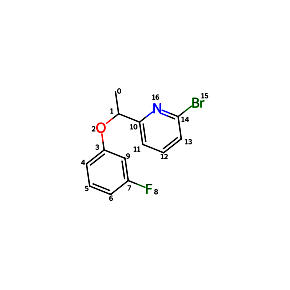 CC(Oc1cccc(F)c1)c1cccc(Br)n1